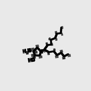 CCCCCCCC(CCCCCC)N1C[C@@H](N)[C@@H](O)C1